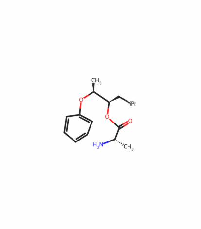 CC(C)C[C@@H](OC(=O)[C@H](C)N)[C@H](C)Oc1ccccc1